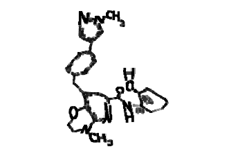 CN1CCOc2c(Cc3ccc(-c4cnn(C)c4)cc3)cc(C(=O)N[C@H]3CCCC[C@@H]3O)nc21